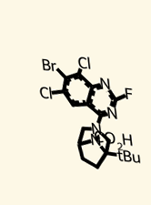 CC(C)(C)C12CCC(CN(c3nc(F)nc4c(Cl)c(Br)c(Cl)cc34)C1)N2C(=O)O